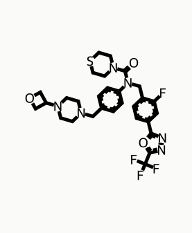 O=C(N1CCSCC1)N(Cc1ccc(-c2nnc(C(F)(F)F)o2)cc1F)c1ccc(CN2CCN(C3COC3)CC2)cc1